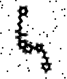 O=C(NCCCCc1ccccc1)Nc1ccc2c(n1)C=C(c1cnn(CCCN3CCOCC3)c1)CN2